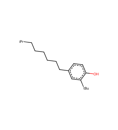 CC(C)CCCCCCc1ccc(O)c(C(C)(C)C)c1